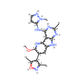 COc1nc2c(cc1-c1c(C)noc1C)[nH]c1nc(C)nc(Nc3ccnn3C)c12